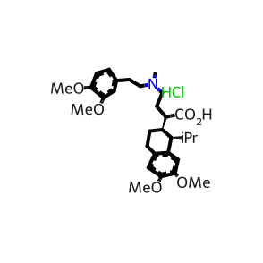 COc1ccc(CCN(C)CCC(C(=O)O)[C@@H]2CCc3cc(OC)c(OC)cc3[C@@H]2C(C)C)cc1OC.Cl